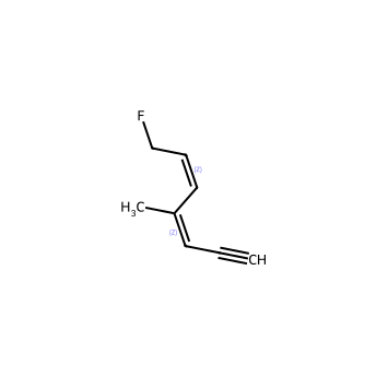 C#C/C=C(C)\C=C/CF